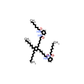 CCCCCCCCC(=O)N[C@H]1CCCC[C@H]1NC(=O)CCCCCCC1CC(CCCCCCCC)C(CCCCCCCC)CC1CCCCCCC(=O)N[C@H]1CCCC[C@H]1NC(=O)CCCCCCCC